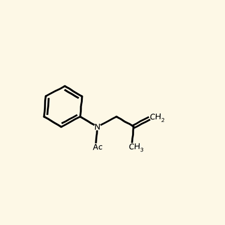 C=C(C)CN(C(C)=O)c1ccccc1